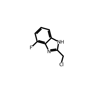 Fc1cccc2[nH]c(CCl)nc12